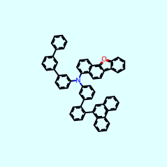 c1ccc(-c2cccc(-c3cccc(N(c4cccc(-c5ccccc5-c5cc6ccccc6c6ccccc56)c4)c4cccc5c4ccc4c6ccccc6oc54)c3)c2)cc1